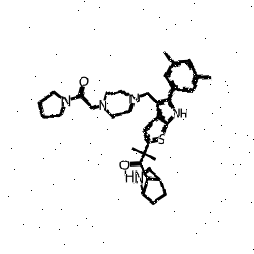 Cc1cc(C)cc(-c2[nH]c3sc(C(C)(C)C(=O)C4C5CCC4NC5)cc3c2CN2CCN(CC(=O)N3CCCC3)CC2)c1